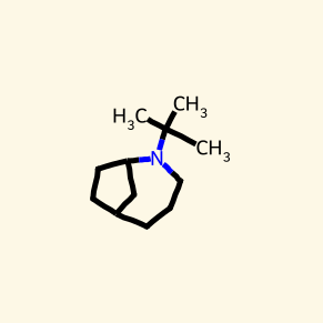 CC(C)(C)N1CCCC2CCC1C2